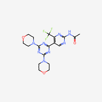 CC(=O)Nc1ncc(-c2nc(N3CCOCC3)nc(N3CCOCC3)n2)c(C(F)(F)F)n1